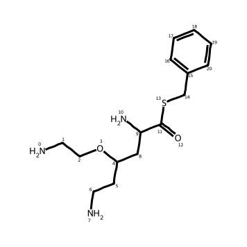 NCCOC(CCN)CC(N)C(=O)SCc1ccccc1